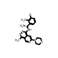 Cc1c(Cl)cccc1[C@@H](N)Nc1nnc(C)c2cnc(N3CCOCC3)cc12